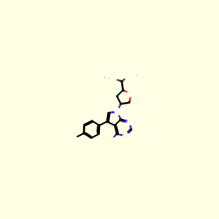 COC(OC)C1CC(n2cc(-c3ccc(C)cc3)c3c(N)ncnc32)CO1